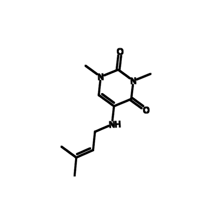 CC(C)=CCNc1cn(C)c(=O)n(C)c1=O